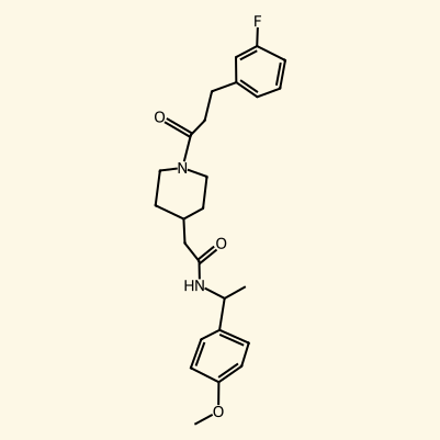 COc1ccc(C(C)NC(=O)CC2CCN(C(=O)CCc3cccc(F)c3)CC2)cc1